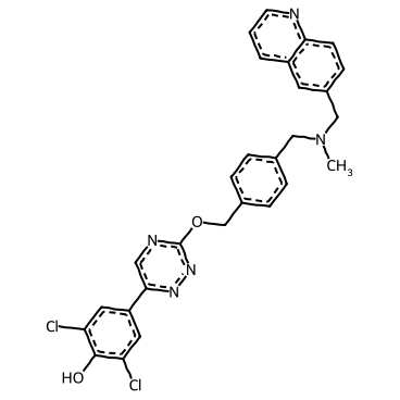 CN(Cc1ccc(COc2ncc(-c3cc(Cl)c(O)c(Cl)c3)nn2)cc1)Cc1ccc2ncccc2c1